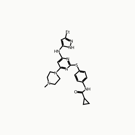 CCc1cc(Nc2cc(N3CCN(C)CC3)nc(Sc3ccc(NC(=O)C4CC4)cc3)n2)[nH]n1